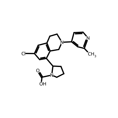 Cc1cc(N2CCc3cc(Cl)cc(C4CCCN4C(=O)O)c3C2)ccn1